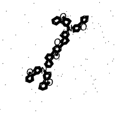 c1ccc2c(c1)oc1ccc(N(c3ccc4c(ccc5c6cc7oc8c9ccc(N(c%10ccc%11oc%12ccccc%12c%11c%10)c%10ccc%11oc%12ccccc%12c%11c%10)cc9ccc8c7cc6oc45)c3)c3ccc4oc5ccccc5c4c3)cc12